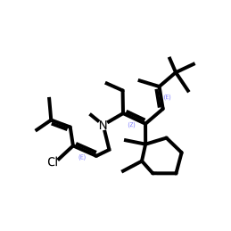 CC/C(=C(\C=C(/C)C(C)(C)C)C1(C)CCCCC1C)N(C)C/C=C(/Cl)C=C(C)C